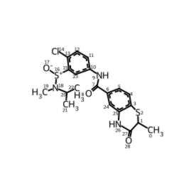 CC1Sc2ccc(C(=O)Nc3ccc(Cl)c([S+]([O-])N(C)C(C)C)c3)cc2NC1=O